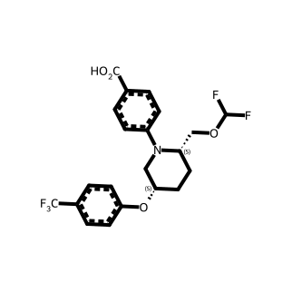 O=C(O)c1ccc(N2C[C@@H](Oc3ccc(C(F)(F)F)cc3)CC[C@H]2COC(F)F)cc1